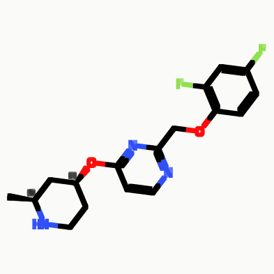 C[C@H]1C[C@@H](Oc2ccnc(COc3ccc(F)cc3F)n2)CCN1